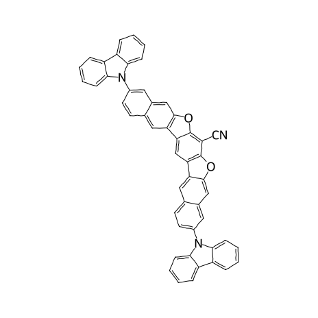 N#Cc1c2oc3cc4cc(-n5c6ccccc6c6ccccc65)ccc4cc3c2cc2c1oc1cc3cc(-n4c5ccccc5c5ccccc54)ccc3cc12